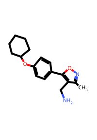 Cc1noc(-c2ccc(OC3CCCCC3)cc2)c1CN